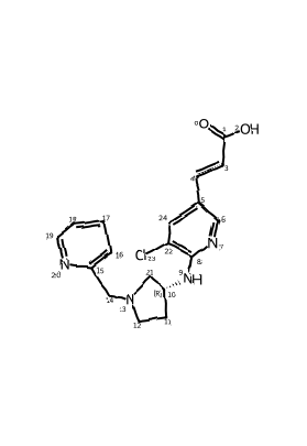 O=C(O)C=Cc1cnc(N[C@@H]2CCN(Cc3ccccn3)C2)c(Cl)c1